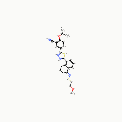 COCCSNC1CCCc2c(-c3nnc(-c4ccc(OC(C)C)c(C#N)c4)s3)cccc21